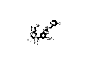 COc1cc(C(=O)N2CC(C)(CCO)OCC2(C)C)cc2nc(NCc3cc(Cl)ccn3)oc12